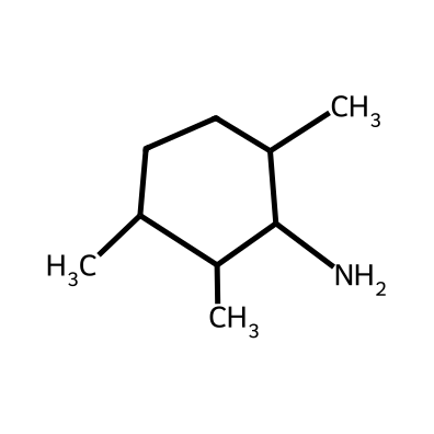 CC1CCC(C)C(N)C1C